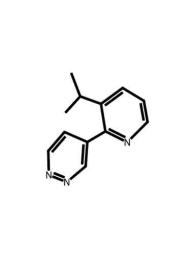 CC(C)c1cccnc1-c1ccnnc1